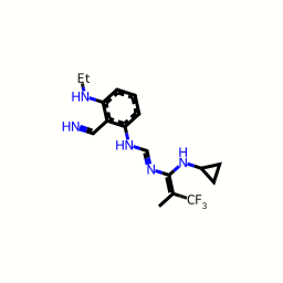 CCNc1cccc(N/C=N/C(NC2CC2)=C(\C)C(F)(F)F)c1C=N